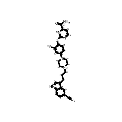 N#Cc1ccc2[nH]cc(CCCN3CCN(c4ccc(Oc5nccc(C(N)=O)n5)c(F)c4)CC3)c2c1